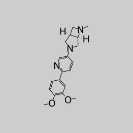 COc1ccc(-c2ccc(N3C[C@H]4CN(C)[C@H]4C3)cn2)cc1OC